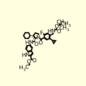 CCOC(=O)c1cc2cc(NC(=O)[C@@H]3[C@H](C4CCCCC4)CCN3C(=O)c3cc(C4CC4)c(CNC(=O)OC(C)(C)C)cc3F)ccc2[nH]1